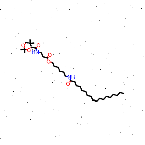 CCCCCCCC/C=C\CCCCCCCC(=O)NCCCCCCOC(=O)CCNC(=O)C1OC(C)(C)OCC1(C)C